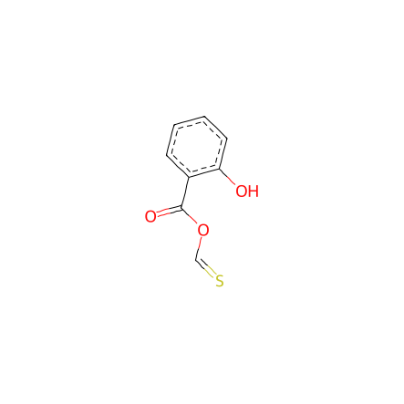 O=C(OC=S)c1ccccc1O